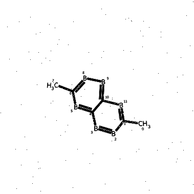 Cc1bbc2bc(C)bbc2b1